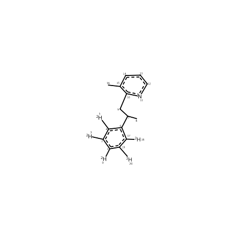 [2H]c1c([2H])c([2H])c(C(C)Cc2ncccc2C)c([2H])c1[2H]